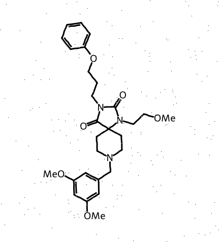 COCCN1C(=O)N(CCCOc2ccccc2)C(=O)C12CCN(Cc1cc(OC)cc(OC)c1)CC2